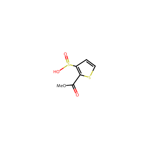 COC(=O)c1sccc1S(=O)O